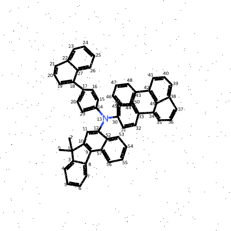 CC1(C)c2ccccc2-c2c1cc(N(c1ccc(-c3cccc4ccccc34)cc1)c1ccc(-c3cccc4cccc(-c5ccccc5)c34)cc1)c1ccccc21